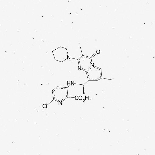 Cc1cc([C@@H](C)Nc2ccc(Cl)nc2C(=O)O)c2nc(N3CCCCC3)c(C)c(=O)n2c1